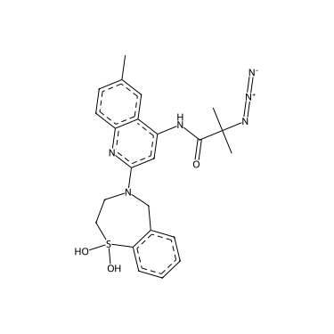 Cc1ccc2nc(N3CCS(O)(O)c4ccccc4C3)cc(NC(=O)C(C)(C)N=[N+]=[N-])c2c1